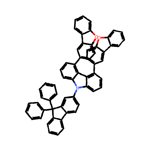 c1ccc(C2(c3ccccc3)c3ccccc3-c3ccc(-n4c5cccc(-c6ccc7oc8ccccc8c7c6)c5c5c(-c6ccc7oc8ccccc8c7c6)cccc54)cc32)cc1